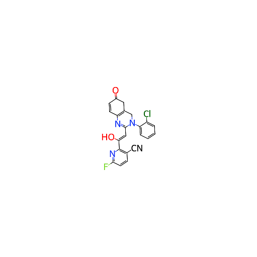 N#Cc1ccc(F)nc1C(O)=CC1=NC2=C(CC(=O)C=C2)CN1c1ccccc1Cl